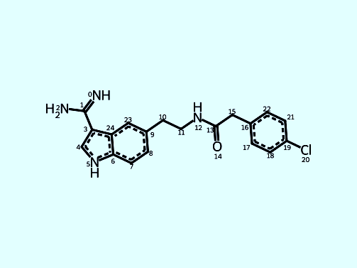 N=C(N)c1c[nH]c2ccc(CCNC(=O)Cc3ccc(Cl)cc3)cc12